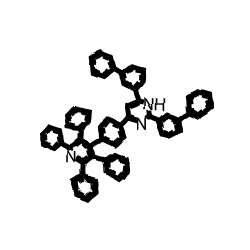 C1=C(c2cccc(-c3ccccc3)c2)NC(c2cccc(-c3ccccc3)c2)N=C1c1ccc(-c2c(-c3ccccc3)c(-c3ccccc3)nc(-c3ccccc3)c2-c2ccccc2)cc1